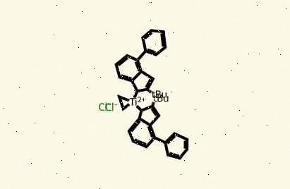 CC(C)(C)C1=Cc2c(-c3ccccc3)cccc2[CH]1[Ti+2]1([CH]2C(C(C)(C)C)=Cc3c(-c4ccccc4)cccc32)[CH2][CH2]1.[Cl-].[Cl-]